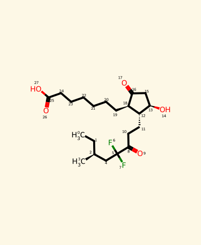 CC[C@H](C)CC(F)(F)C(=O)CC[C@H]1[C@H](O)CC(=O)[C@@H]1CCCCCCC(=O)O